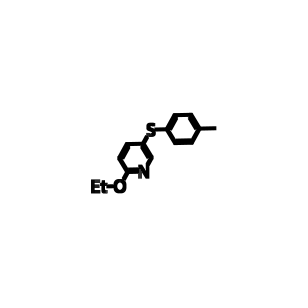 CCOc1ccc(Sc2ccc(C)cc2)cn1